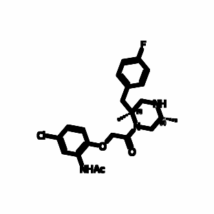 CC(=O)Nc1cc(Cl)ccc1OCC(=O)N1C[C@@H](C)NC[C@]1(C)Cc1ccc(F)cc1